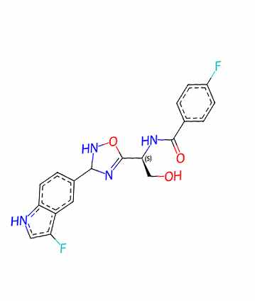 O=C(N[C@@H](CO)C1=NC(c2ccc3[nH]cc(F)c3c2)NO1)c1ccc(F)cc1